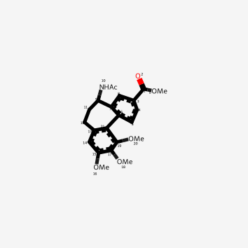 COC(=O)c1ccc2c(c1)C(NC(C)=O)CCc1cc(OC)c(OC)c(OC)c1-2